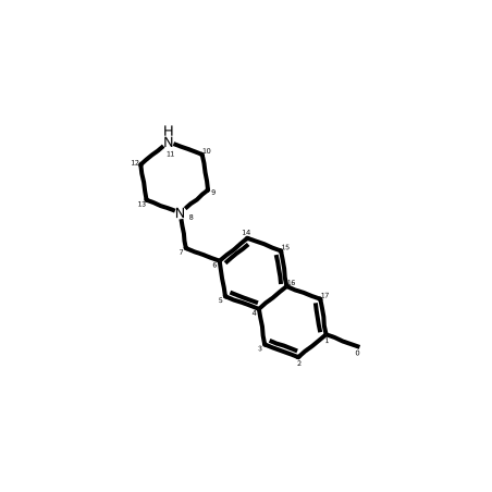 Cc1ccc2cc(CN3CCNCC3)ccc2c1